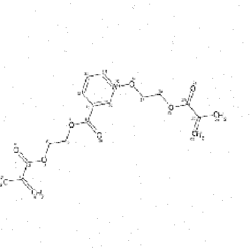 C=C(C)C(=O)OCCOC(=O)c1ccc[n+](OCCOC(=O)C(=C)C)c1